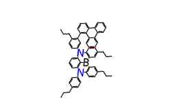 CCCc1ccc(N2c3ccc(CCC)cc3B3c4cc(CCC)ccc4N(c4ccc(CCC)c(-c5cccc6c7ccccc7c7ccccc7c56)c4)c4cccc2c43)cc1